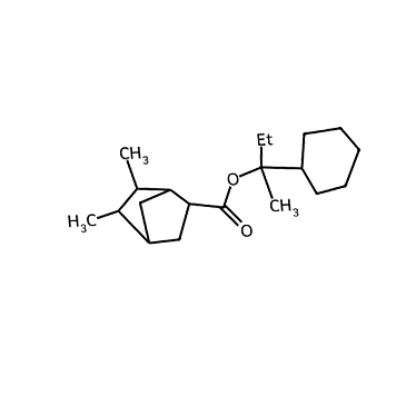 CCC(C)(OC(=O)C1CC2CC1C(C)C2C)C1CCCCC1